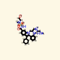 CNCCN(C)CC1Cn2c(c(C3CCCCC3)c3ccc(C(=O)NS(=O)(=O)N(C)CC=O)cc32)-c2ccccc2N1C